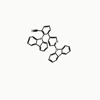 N#Cc1cccc(-c2ccc(-n3c4ccccc4c4ccccc43)nc2)c1-n1c2ccccc2c2ccccc21